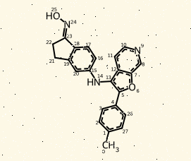 Cc1ccc(-c2oc3cnccc3c2Nc2ccc3c(c2)CC/C3=N\O)cc1